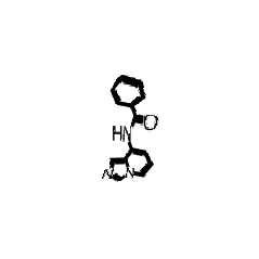 O=C(Nc1cccn2cncc12)c1ccccc1